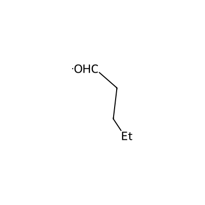 CCCC[C]=O